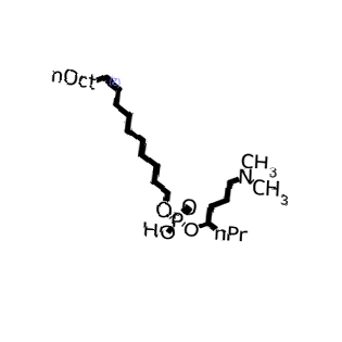 CCCCCCCC/C=C\CCCCCCCCOP(=O)(O)OC(CCC)CCCN(C)C